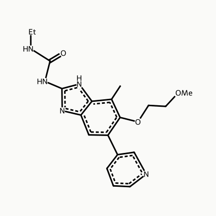 CCNC(=O)Nc1nc2cc(-c3cccnc3)c(OCCOC)c(C)c2[nH]1